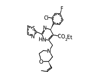 CCOC(=O)C1=C(CN2CCO[C@H](/C=C(\C)C(=O)O)C2)NC(c2nccs2)=N[C@H]1c1ccc(F)cc1Cl